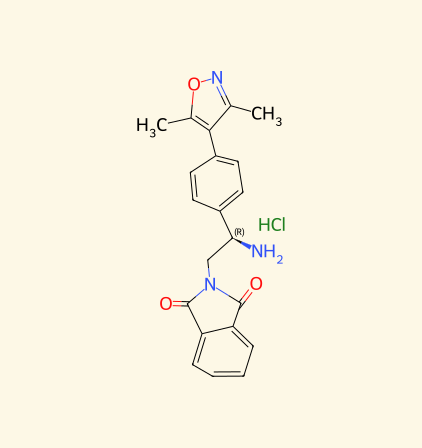 Cc1noc(C)c1-c1ccc([C@@H](N)CN2C(=O)c3ccccc3C2=O)cc1.Cl